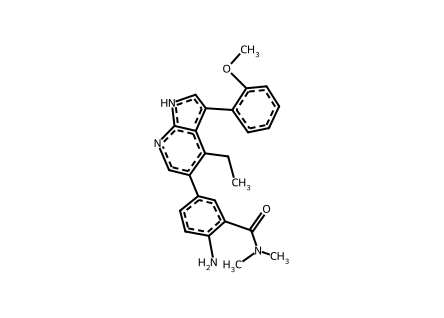 CCc1c(-c2ccc(N)c(C(=O)N(C)C)c2)cnc2[nH]cc(-c3ccccc3OC)c12